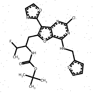 CC(F)C(Cc1oc2c(NCc3cccs3)nc(Cl)nc2c1-c1ncco1)NC(=O)OC(C)(C)C